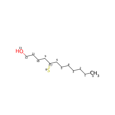 CCCCCCCC(=S)CCCCO